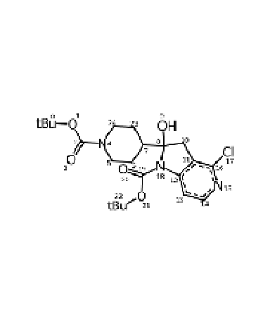 CC(C)(C)OC(=O)N1CCC(C2(O)Cc3c(ccnc3Cl)N2C(=O)OC(C)(C)C)CC1